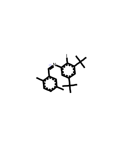 Cc1ccc(C)c(/C=N\c2cc(C(C)(C)C)cc(C(C)(C)C)c2I)c1